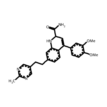 COc1ccc(C2=CC(C(N)=O)Nc3cc(CCc4cnc(C)nc4)ccc32)cc1OC